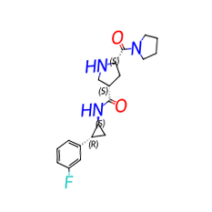 O=C(N[C@H]1C[C@@H]1c1cccc(F)c1)[C@@H]1CN[C@H](C(=O)N2CCCC2)C1